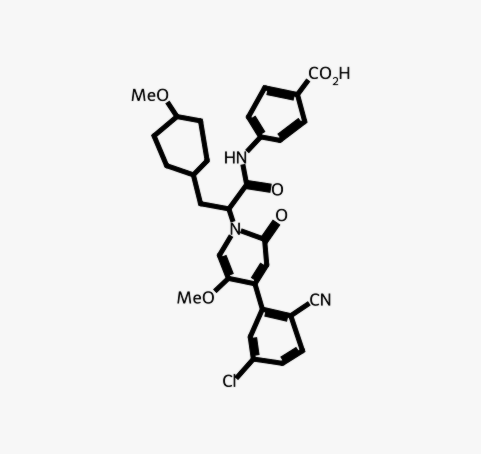 COc1cn(C(CC2CCC(OC)CC2)C(=O)Nc2ccc(C(=O)O)cc2)c(=O)cc1-c1cc(Cl)ccc1C#N